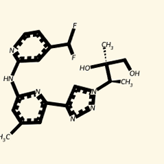 Cc1cc(Nc2cc(C(F)F)ccn2)nc(-c2cn([C@H](C)[C@@](C)(O)CO)nn2)c1